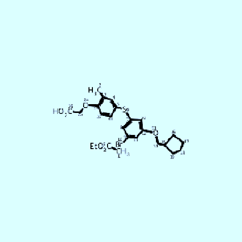 CCOC(C)=O.Cc1cc(Sc2cc(Br)cc(OCC3CCCC3)c2)ccc1OCC(=O)O